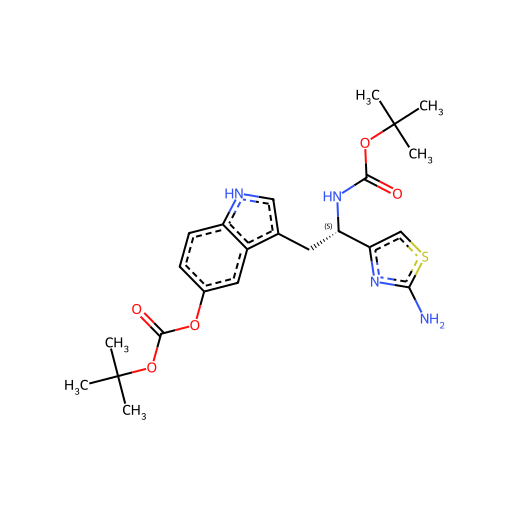 CC(C)(C)OC(=O)N[C@@H](Cc1c[nH]c2ccc(OC(=O)OC(C)(C)C)cc12)c1csc(N)n1